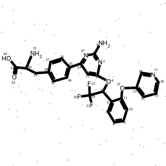 Nc1nc(OC(c2ccccc2Oc2cccnc2)C(F)(F)F)cc(-c2ccc(CC(N)C(=O)O)cc2)n1